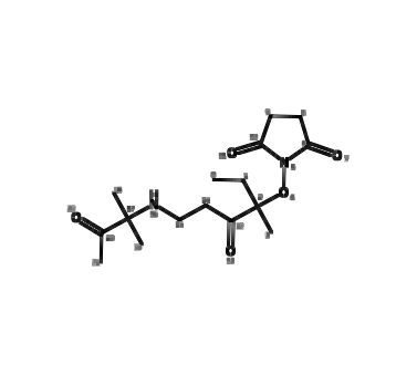 CCC(C)(ON1C(=O)CCC1=O)C(=O)CCNC(C)(C)C(C)=O